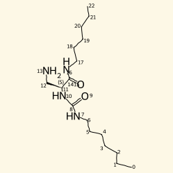 CCCCCCCNC(=O)N[C@@H](CN)C(=O)NCCCCCC